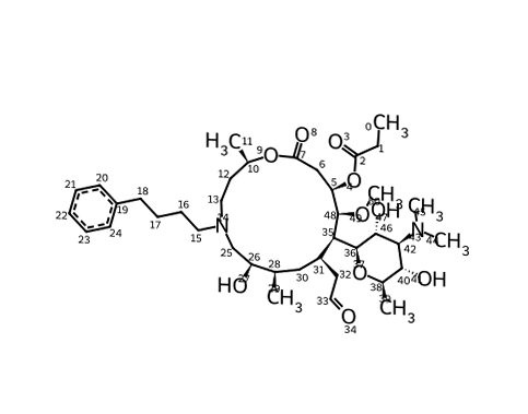 CCC(=O)O[C@@H]1CC(=O)O[C@H](C)CCN(CCCCc2ccccc2)C[C@H](O)[C@H](C)C[C@H](CC=O)[C@H]([C@@H]2O[C@H](C)[C@@H](O)[C@H](N(C)C)[C@H]2O)[C@@H]1OC